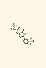 CNC(=O)OC1SC(c2cccc(C(F)(F)F)c2)NC1=O